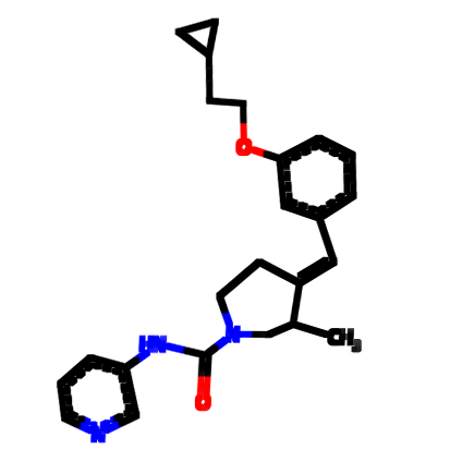 CC1CN(C(=O)Nc2cccnc2)CCC1=Cc1cccc(OCCC2CC2)c1